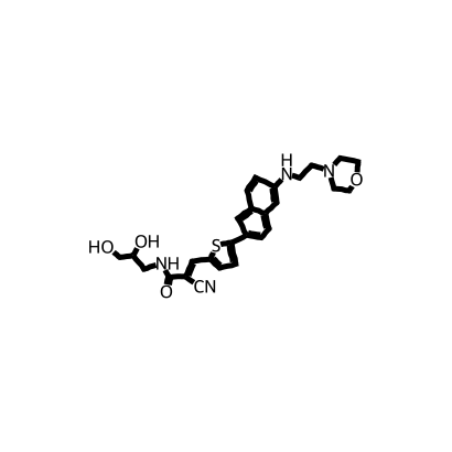 N#C/C(=C\c1ccc(-c2ccc3cc(NCCN4CCOCC4)ccc3c2)s1)C(=O)NCC(O)CO